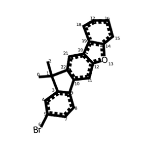 CC1(C)c2cc(Br)ccc2-c2cc3oc4ccccc4c3cc21